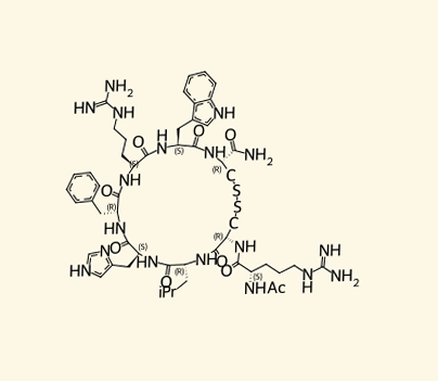 CC(=O)N[C@@H](CCCNC(=N)N)C(=O)N[C@H]1CSSC[C@@H](C(N)=O)NC(=O)[C@H](Cc2c[nH]c3ccccc23)NC(=O)[C@H](CCCNC(=N)N)NC(=O)[C@@H](Cc2ccccc2)NC(=O)[C@H](Cc2c[nH]cn2)NC(=O)[C@@H](CC(C)C)NC1=O